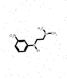 CCN(CC[As](C)C)c1cc[c]c([N+](=O)[O-])c1